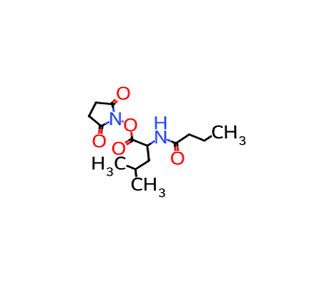 CCCC(=O)NC(CC(C)C)C(=O)ON1C(=O)CCC1=O